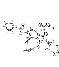 CC#CCN1c2c(ccn(CC(=O)c3ccccc3)c2=O)N(OC(=O)C(F)(F)F)C1N1CCNCC1